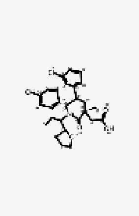 CCC(C1CCCO1)N1C(=O)[C@@](C)(CC(=O)O)CC(c2cccc(Cl)c2)[C@H]1c1ccc(Cl)cc1